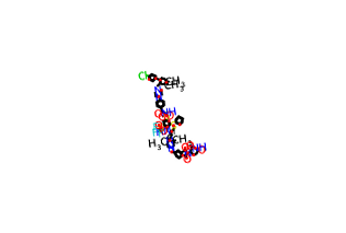 CC1CN(Cc2ccc3c(c2)C(=O)N(C2CCC(=O)NC2=O)C3=O)CC(C)N1CC[C@H](CSc1ccccc1)Nc1ccc(S(=O)(=O)NC(=O)c2ccc(N3CCN(CC4=C(c5ccc(Cl)cc5)CCC(C)(C)C4)CC3)cc2)cc1S(=O)(=O)C(F)(F)F